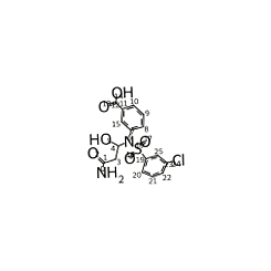 NC(=O)CC(O)N(c1cccc(C(=O)O)c1)S(=O)(=O)c1cccc(Cl)c1